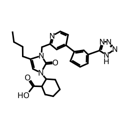 CCCCc1cn(C2CCCCC2C(=O)O)c(=O)n1Cc1cc(-c2cccc(-c3nnn[nH]3)c2)ccn1